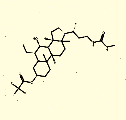 CC[C@@H]1C2C[C@H](OC(=O)C(F)(F)F)CCC2(C)[C@H]2CCC3(C)[C@@H]([C@H](C)CCNC(=O)NC)CC[C@H]3C2[C@@H]1O